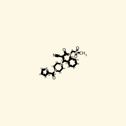 CS(=O)(=O)Cn1c(=O)c(C#N)c(N2CCN(C(=O)c3cccs3)CC2)c2ccccc21